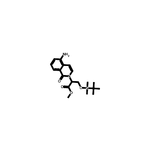 COC(=O)C(CO[Si](C)(C)C(C)(C)C)n1ccc2c(N)cccc2c1=O